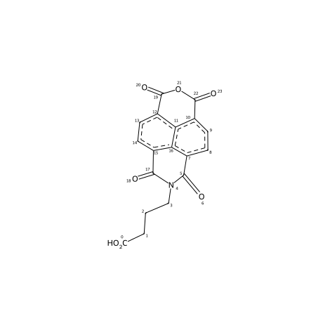 O=C(O)CCCN1C(=O)c2ccc3c4c(ccc(c24)C1=O)C(=O)OC3=O